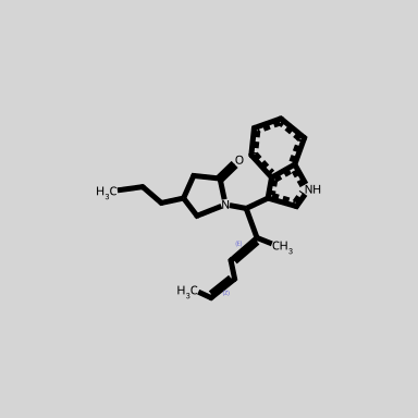 C/C=C\C=C(/C)C(c1c[nH]c2ccccc12)N1CC(CCC)CC1=O